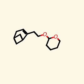 C1=C(CCOC2CCCCO2)C2CC(C1)C2